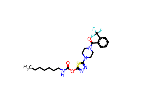 CCCCCCCNC(=O)Oc1nnc(N2CCN(C(=O)c3ccccc3C(F)(F)F)CC2)s1